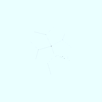 C[CH2][Ge]([NH2])[C](C(C)C)(C(C)C)C(C)C